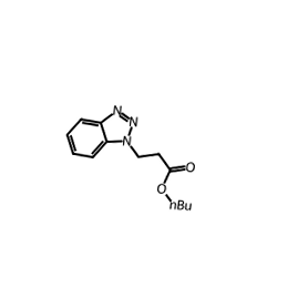 CCCCOC(=O)CCn1nnc2ccccc21